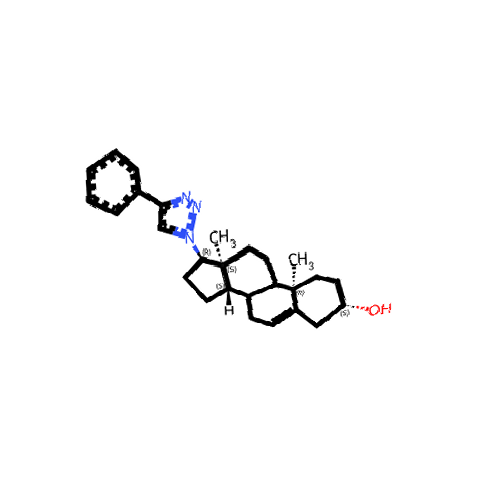 C[C@]12CCC3C(CC=C4C[C@@H](O)CC[C@@]43C)[C@@H]1CC[C@H]2n1cc(-c2ccccc2)nn1